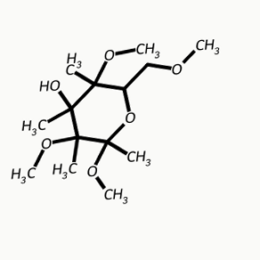 COCC1OC(C)(OC)C(C)(OC)C(C)(O)C1(C)OC